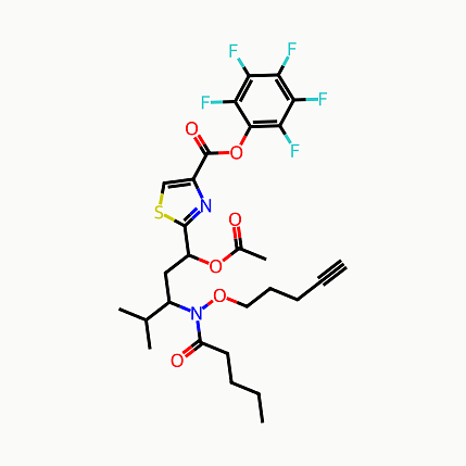 C#CCCCON(C(=O)CCCC)C(CC(OC(C)=O)c1nc(C(=O)Oc2c(F)c(F)c(F)c(F)c2F)cs1)C(C)C